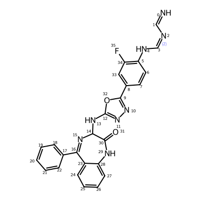 N=C/N=C\Nc1ccc(-c2nnc(NC3N=C(c4ccccc4)c4ccccc4NC3=O)o2)cc1F